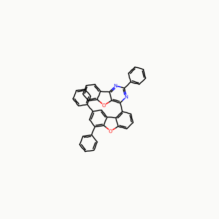 c1ccc(-c2cc(-c3ccccc3)c3oc4cccc(-c5nc(-c6ccccc6)nc6c5oc5ccccc56)c4c3c2)cc1